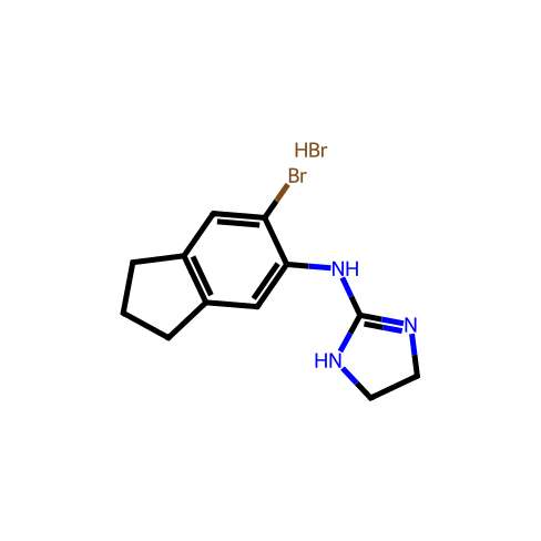 Br.Brc1cc2c(cc1NC1=NCCN1)CCC2